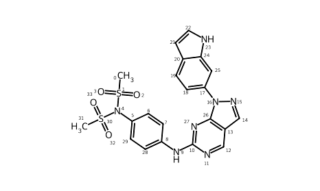 CS(=O)(=O)N(c1ccc(Nc2ncc3cnn(-c4ccc5cc[nH]c5c4)c3n2)cc1)S(C)(=O)=O